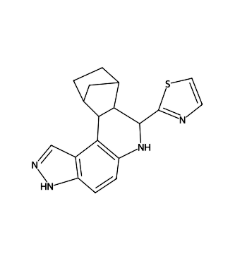 c1csc(C2Nc3ccc4[nH]ncc4c3C3C4CCC(C4)C23)n1